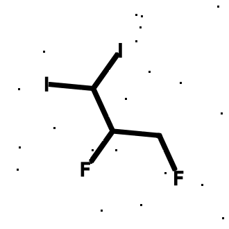 FCC(F)C(I)I